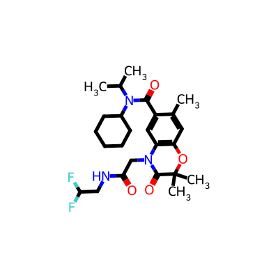 Cc1cc2c(cc1C(=O)N(C(C)C)C1CCCCC1)N(CC(=O)NCC(F)F)C(=O)C(C)(C)O2